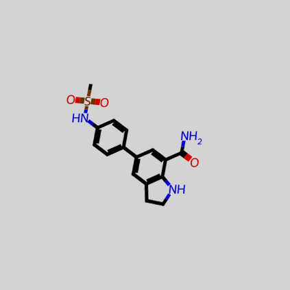 CS(=O)(=O)Nc1ccc(-c2cc3c(c(C(N)=O)c2)NCC3)cc1